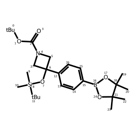 CC(C)(C)OC(=O)N1CC(O[Si](C)(C)C(C)(C)C)(c2ccc(B3OC(C)(C)C(C)(C)O3)cc2)C1